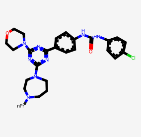 CCCN1CCCN(c2nc(-c3ccc(NC(=O)Nc4ccc(Cl)cc4)cc3)nc(N3CCOCC3)n2)CC1